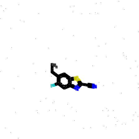 CCc1cc2sc(C#N)nc2cc1F